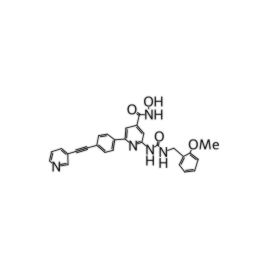 COc1ccccc1CNC(=O)Nc1cc(C(=O)NO)cc(-c2ccc(C#Cc3cccnc3)cc2)n1